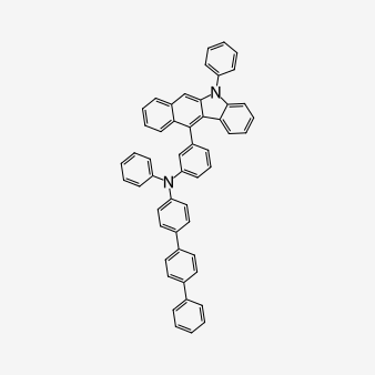 c1ccc(-c2ccc(-c3ccc(N(c4ccccc4)c4cccc(-c5c6ccccc6cc6c5c5ccccc5n6-c5ccccc5)c4)cc3)cc2)cc1